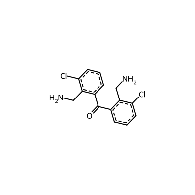 NCc1c(Cl)cccc1C(=O)c1cccc(Cl)c1CN